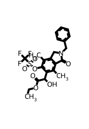 CCOC(=O)C(O)c1c(C)c2c(c(C)c1OS(=O)(=O)C(F)(F)F)CN(Cc1ccccc1)C2=O